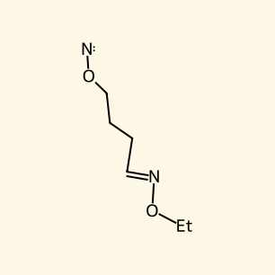 CCON=CCCCO[N]